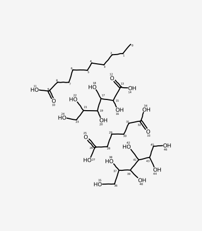 CCCCCCCCCC(=O)O.O=C(O)C(O)C(O)C(O)C(O)CO.O=C(O)CCCCC(=O)O.OCC(O)C(O)C(O)C(O)CO